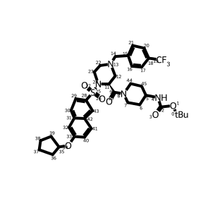 CC(C)(C)OC(=O)NC1CCN(C(=O)[C@@H]2CN(Cc3ccc(C(F)(F)F)cc3)CCN2S(=O)(=O)c2ccc3cc(OC4CCCC4)ccc3c2)CC1